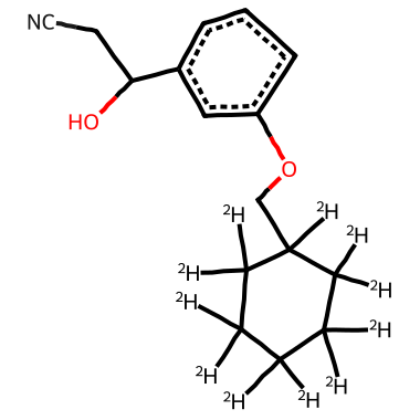 [2H]C1([2H])C([2H])([2H])C([2H])([2H])C([2H])(COc2cccc(C(O)CC#N)c2)C([2H])([2H])C1([2H])[2H]